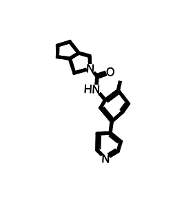 Cc1ccc(-c2ccncc2)cc1NC(=O)N1CC2CCCC2C1